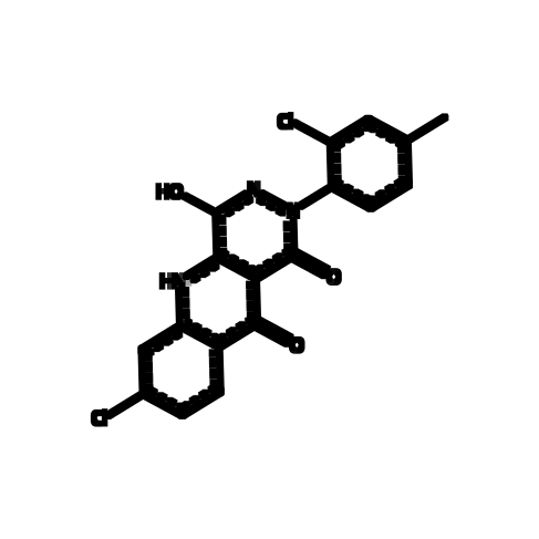 Cc1ccc(-n2nc(O)c3[nH]c4cc(Cl)ccc4c(=O)c3c2=O)c(Cl)c1